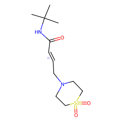 CC(C)(C)NC(=O)/C=C/CN1CCS(=O)(=O)CC1